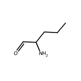 CCCC(N)C=O